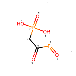 O=PC(=O)CP(=O)(O)O